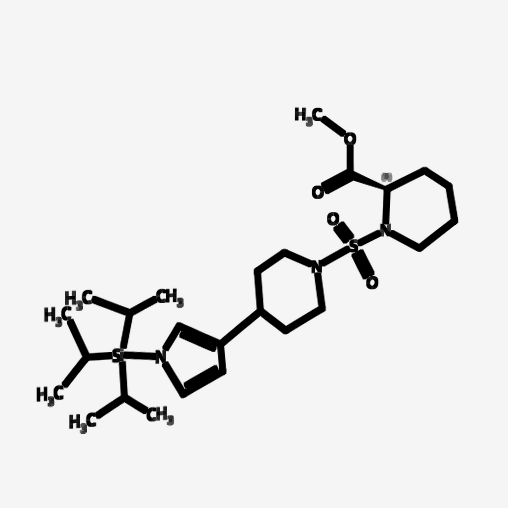 COC(=O)[C@H]1CCCCN1S(=O)(=O)N1CCC(c2ccn([Si](C(C)C)(C(C)C)C(C)C)c2)CC1